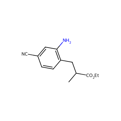 CCOC(=O)C(C)Cc1ccc(C#N)cc1N